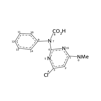 CNc1cc(Cl)nc(N(C(=O)O)c2ccccc2)n1